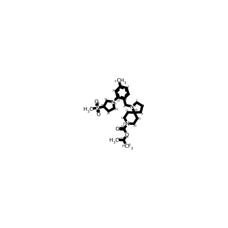 Cc1ccc(CN2CCCC23CCN(C(=O)OC(C)C(F)(F)F)CC3)c(N2CCC(S(C)(=O)=O)C2)c1